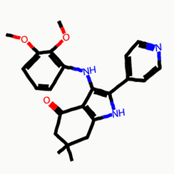 COc1cccc(Nc2c(-c3ccncc3)[nH]c3c2C(=O)CC(C)(C)C3)c1OC